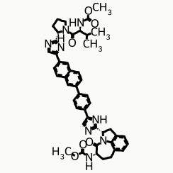 COC(=O)N[C@H]1CCc2cccc3c2N(C1=O)[C@H](c1ncc(-c2ccc(-c4ccc5cc(-c6cnc([C@@H]7CCCN7C(=O)[C@@H](NC(=O)OC)C(C)C)[nH]6)ccc5c4)cc2)[nH]1)C3